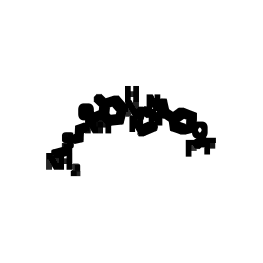 Cc1cc(Nc2nccn3c(-c4ccc(OC(F)F)cc4)cnc23)ccc1C(=O)NCCSCCN